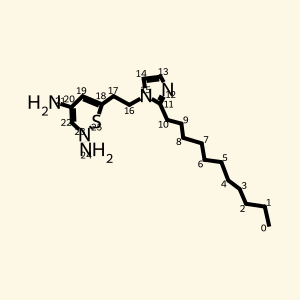 CCCCCCCCCCCc1nccn1CCC1=CC(N)=CN(N)S1